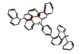 CC1(c2ccccc2)c2ccccc2-c2c(-c3ccc(N(c4ccccc4-c4ccc(-c5cccc6ccccc56)cc4)c4ccccc4-c4cccc(-c5ccccc5)c4)cc3)cccc21